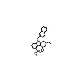 CCC1CC(=O)c2c(n(Cc3ccc4ccccc4c3)c3cccc(C(=O)OC)c23)C1